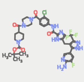 CC(C)(C)OC(=O)N1CCC(C(=O)N2CCN(C(=O)c3ccc(NC(=O)c4ncc(Cc5c(C(F)(F)F)n[nH]c5-c5cnc(N)c(F)c5)[nH]4)cc3Cl)CC2)CC1